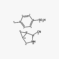 Cc1ccc(S(=O)(=O)O)cc1.N#CC1NCC2CC21